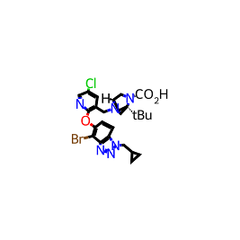 CC(C)(C)[C@]12C[C@@H](CN1C(=O)O)N(Cc1cc(Cl)cnc1Oc1ccc3c(nnn3CC3CC3)c1Br)C2